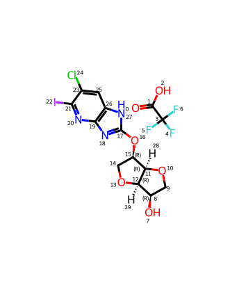 O=C(O)C(F)(F)F.O[C@@H]1CO[C@H]2[C@@H]1OC[C@H]2Oc1nc2nc(I)c(Cl)cc2[nH]1